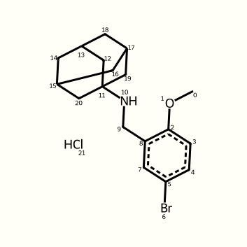 COc1ccc(Br)cc1CNC12CC3CC(CC(C3)C1)C2.Cl